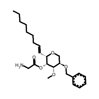 CCCCCCC/C=C/[C@@H]1OC[C@@H](OCc2ccccc2)[C@H](OC)[C@@H]1OC(=O)CN